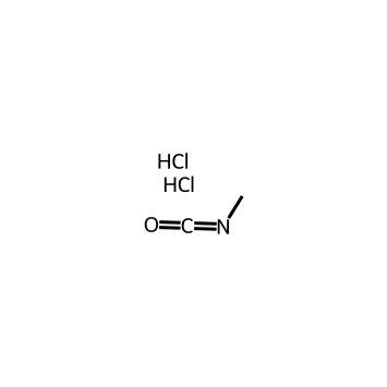 CN=C=O.Cl.Cl